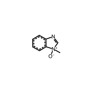 C[N+]1([O-])C=Nc2ccccc21